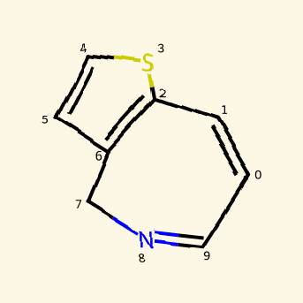 C1=Cc2sccc2CN=C1